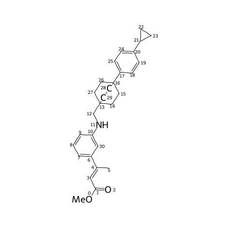 COC(=O)/C=C(\C)c1cccc(NCC23CCC(c4ccc(C5CC5)cc4)(CC2)CC3)c1